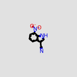 N#Cc1c[nH]c2c([N+](=O)[O-])cccc12